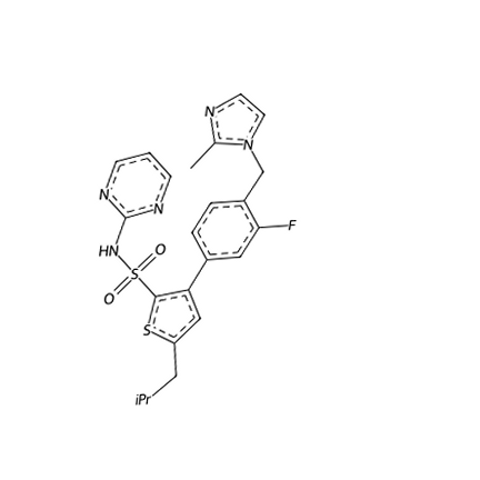 Cc1nccn1Cc1ccc(-c2cc(CC(C)C)sc2S(=O)(=O)Nc2ncccn2)cc1F